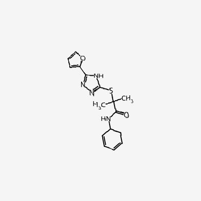 CC(C)(Sc1nnc(-c2ccco2)[nH]1)C(=O)NC1C=CC=CC1